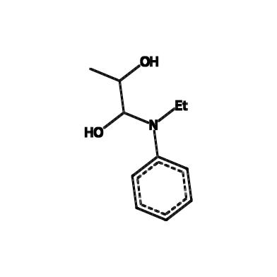 CCN(c1ccccc1)C(O)C(C)O